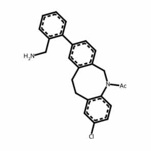 CC(=O)N1Cc2ccc(-c3ccccc3CN)cc2CCc2cc(Cl)ccc21